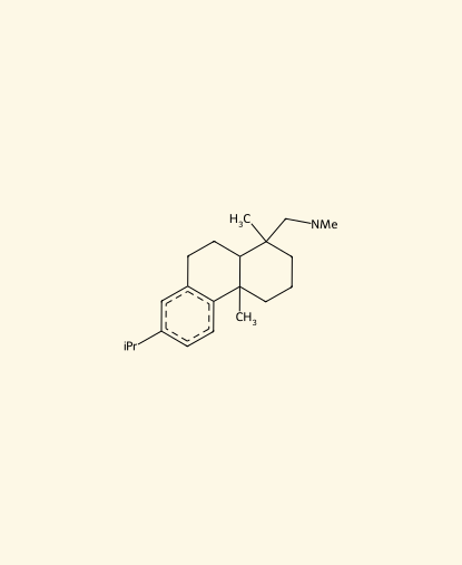 CNCC1(C)CCCC2(C)c3ccc(C(C)C)cc3CCC12